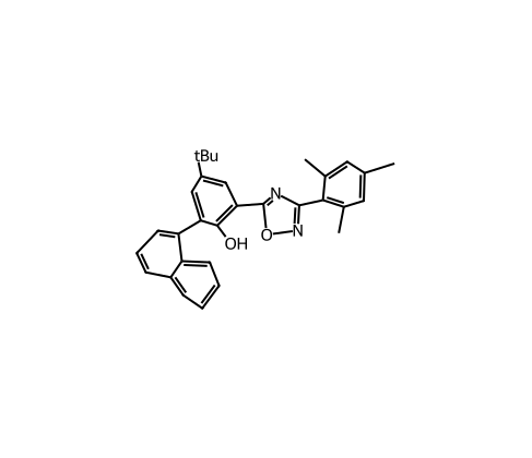 Cc1cc(C)c(-c2noc(-c3cc(C(C)(C)C)cc(-c4cccc5ccccc45)c3O)n2)c(C)c1